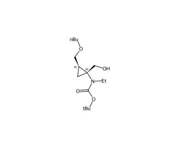 CCCCOC[C@@H]1C[C@@]1(CO)N(CC)C(=O)OC(C)(C)C